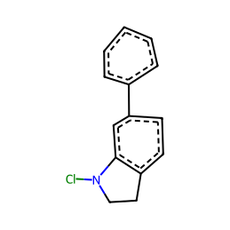 ClN1CCc2ccc(-c3ccccc3)cc21